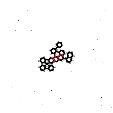 c1ccc(-c2ccccc2-c2c(-c3ccccc3)cccc2N(c2ccc(-c3cccc4ccccc34)cc2)c2ccc3c(c2)-c2ccccc2C32c3ccccc3-c3ccccc32)cc1